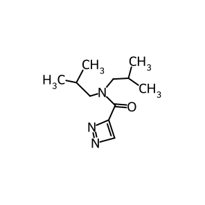 CC(C)CN(CC(C)C)C(=O)C1=CN=N1